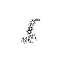 CC(C)(C)[Si](C)(C)OC[C](C(N)=O)c1ccc2nc(O[C@H]3CC[C@H](C(C)(C)C)CC3)ccc2c1